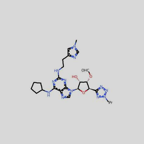 CC(C)n1nnc([C@H]2O[C@@H](n3cnc4c(NC5CCCC5)nc(NCCc5cn(C)cn5)nc43)[C@H](O)[C@@H]2OC=O)n1